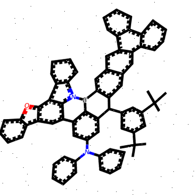 CC(C)(C)c1cc(C2c3cc4cc5c6ccccc6c6ccccc6c5cc4cc3B3c4c(cc(N(c5ccccc5)c5ccccc5)cc42)-c2cc4c5ccccc5oc4c4c5ccccc5n3c24)cc(C(C)(C)C)c1